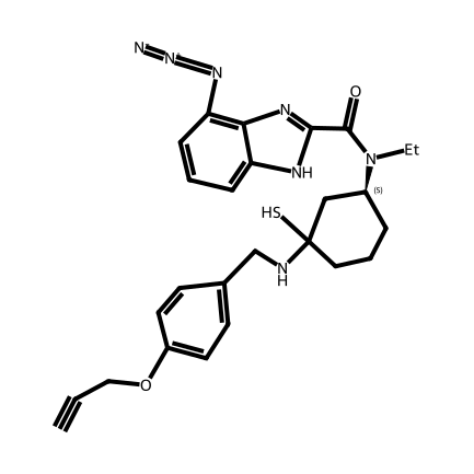 C#CCOc1ccc(CNC2(S)CCC[C@H](N(CC)C(=O)c3nc4c(N=[N+]=[N-])cccc4[nH]3)C2)cc1